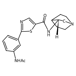 CC(=O)Nc1cccc(-c2ncc(C(=O)N[C@H]3CN4CCC3CC4)s2)c1